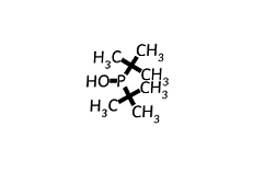 CC(C)(C)P(O)C(C)(C)C